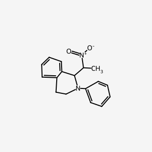 CC(C1c2ccccc2CCN1c1ccccc1)[N+](=O)[O-]